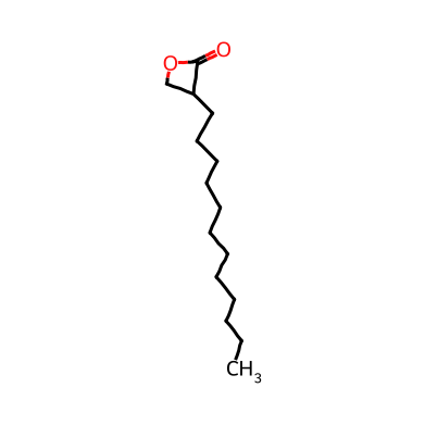 CCCCCCCCCCCCC1COC1=O